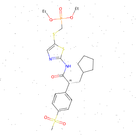 CCOP(=O)(CSc1cnc(NC(=O)[C@H](CC2CCCC2)c2ccc(S(C)(=O)=O)cc2)s1)OCC